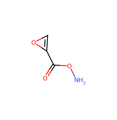 NOC(=O)C1=CO1